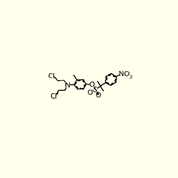 Cc1cc(OS(=O)(=O)C(C)(C)c2ccc([N+](=O)[O-])cc2)ccc1N(CCCl)CCCl